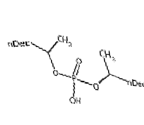 CCCCCCCCCCC(C)OP(=O)(O)OC(C)CCCCCCCCCC